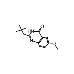 COc1ccc2nc(CC(C)(C)C)[nH]c(=O)c2c1